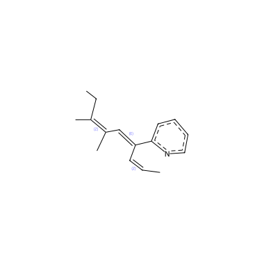 C\C=C/C(=C\C(C)=C(\C)CC)c1ccccn1